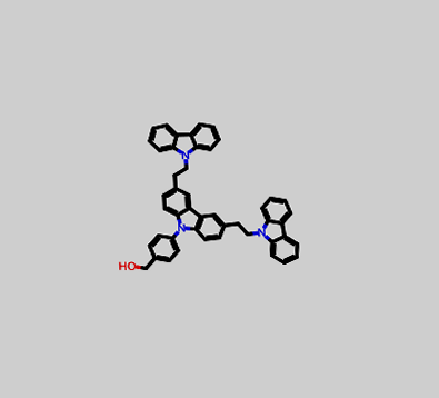 OCc1ccc(-n2c3ccc(CCn4c5ccccc5c5ccccc54)cc3c3cc(CCn4c5ccccc5c5ccccc54)ccc32)cc1